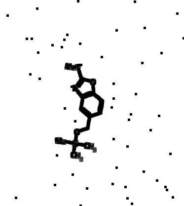 CNc1nc2cc(CO[Si](C)(C)C(C)(C)C)ccc2o1